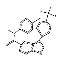 Cc1ccc(N(C)C(=O)c2ccn3ncc(-c4ccc(C(F)(F)F)cc4)c3c2)nc1